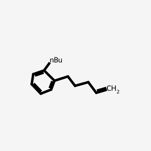 C=CCCCc1ccccc1CCCC